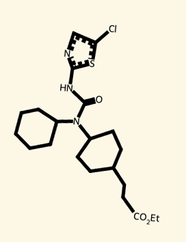 CCOC(=O)CCC1CCC(N(C(=O)Nc2ncc(Cl)s2)C2CCCCC2)CC1